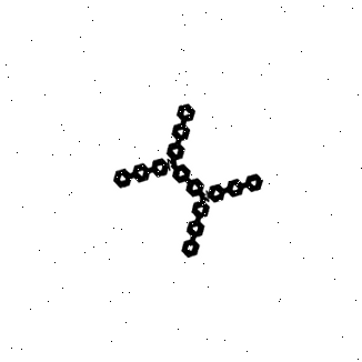 c1ccc(-c2ccc(-c3ccc(N(c4ccc(-c5ccc(-c6ccccc6)cc5)cc4)c4ccc(-c5ccc(N(c6ccc(-c7ccc(-c8ccccc8)cc7)cc6)c6ccc(-c7ccc(-c8ccccc8)cc7)cc6)cc5)cc4)cc3)cc2)cc1